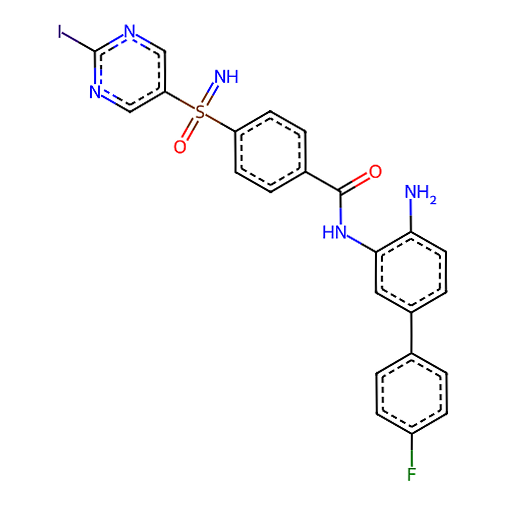 N=S(=O)(c1ccc(C(=O)Nc2cc(-c3ccc(F)cc3)ccc2N)cc1)c1cnc(I)nc1